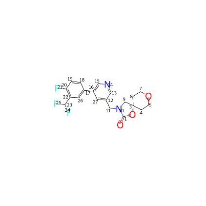 O=C1OC2(CCOCC2)CN1Cc1cncc(-c2ccc(F)c(C(F)F)c2)c1